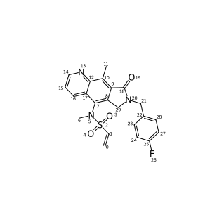 C=CS(=O)(=O)N(C)c1c2c(c(C)c3ncccc13)C(=O)N(Cc1ccc(F)cc1)C2